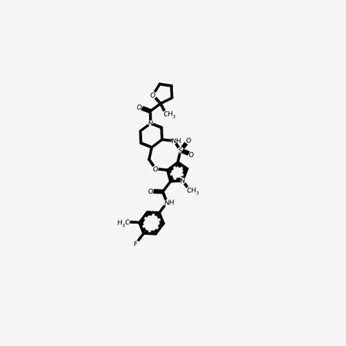 Cc1cc(NC(=O)c2c3c(cn2C)S(=O)(=O)NC2CN(C(=O)C4(C)CCCO4)CCC2CO3)ccc1F